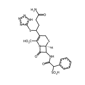 NC(=O)CCC(Sc1nnn[nH]1)C1=C(C(=O)O)N2C(=O)C(NC(=O)C(c3ccccc3)S(=O)(=O)O)[C@@H]2SC1